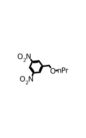 CCCOCc1cc([N+](=O)[O-])cc([N+](=O)[O-])c1